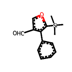 C[Si](C)(C)c1occ(C=O)c1-c1ccccc1